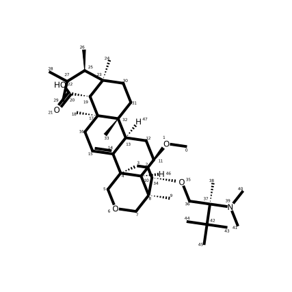 CO[C@@H]1C[C@@]23COC[C@@](C)([C@@H]2CC[C@H]2C3=CC[C@@]3(C)[C@H](C(=O)O)[C@@](C)([C@H](C)C(C)C)CC[C@]23C)[C@H]1OC[C@@](C)(N(C)C)C(C)(C)C